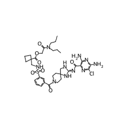 CCCN(CCC)C(=O)COC(=O)C1(CNS(=O)(=O)c2cccc(C(=O)N3CCC4(CC3)CN/C(=N\C(=O)c3nc(Cl)c(N)nc3N)N4)c2)CCC1